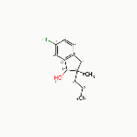 CC1(CCC#N)Cc2ccc(F)cc2C1O